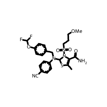 COCCCS(=O)(=O)N1C(C(N)=O)=C(C)SC1N(Cc1ccc(OC(F)F)cc1)c1ccc(C#N)cc1